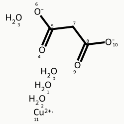 O.O.O.O.O=C([O-])CC(=O)[O-].[Cu+2]